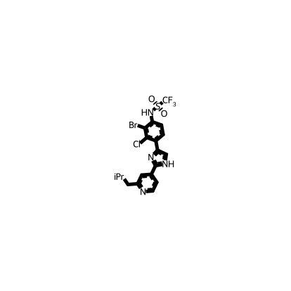 CC(C)Cc1cc(-c2nc(-c3ccc(NS(=O)(=O)C(F)(F)F)c(Br)c3Cl)c[nH]2)ccn1